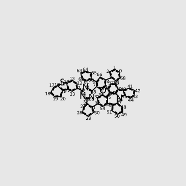 c1ccc(-c2ccc(-c3nc(-c4ccc5sc6ccccc6c5c4)nc(-c4ccccc4-c4cc5oc6ccc7c8ccccc8n8c9ccccc9c(c4)c5c6c78)n3)c(-c3ccccc3)c2)cc1